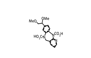 COCC(OC)c1ccc2c(c1)N(C(=O)O)Cc1cccnc1N2C(=O)O